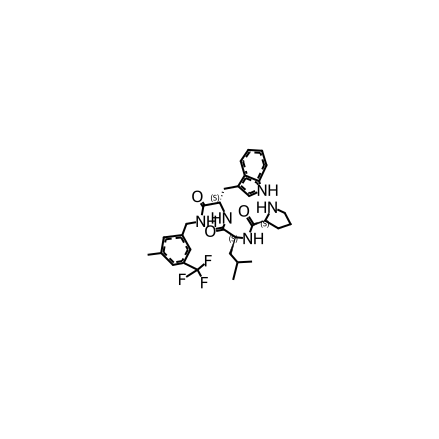 Cc1cc(CNC(=O)[C@H](Cc2c[nH]c3ccccc23)NC(=O)[C@H](CC(C)C)NC(=O)[C@@H]2CCCN2)cc(C(F)(F)F)c1